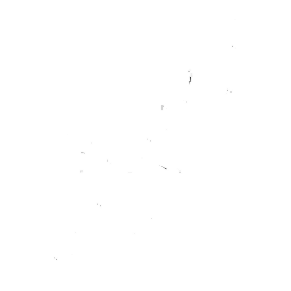 CN(C[C@@H](NC(=O)N[C@H](C(=O)N1C[C@H]2[C@@H]([C@H]1C(=O)NC(CC1CC1)C(=O)C(N)=O)C2(C)C)C(C)(C)C)C(C)(C)C)S(=O)(=O)N1CCC1